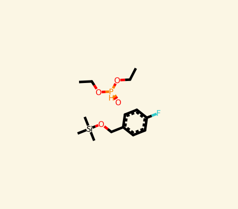 CCO[PH](=O)OCC.C[Si](C)(C)OCc1ccc(F)cc1